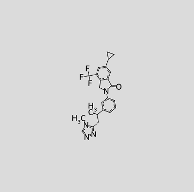 C[C@H](Cc1nncn1C)c1cccc(N2Cc3c(cc(C4CC4)cc3C(F)(F)F)C2=O)c1